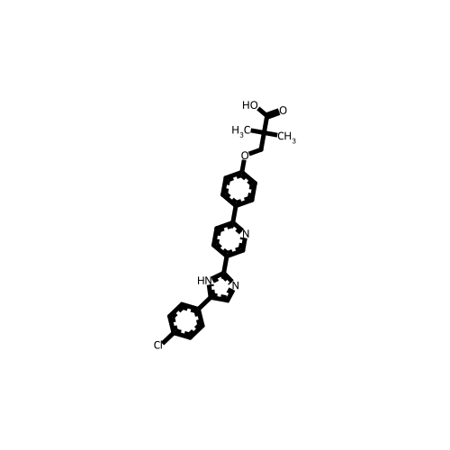 CC(C)(COc1ccc(-c2ccc(-c3ncc(-c4ccc(Cl)cc4)[nH]3)cn2)cc1)C(=O)O